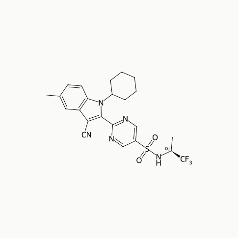 Cc1ccc2c(c1)c(C#N)c(-c1ncc(S(=O)(=O)N[C@@H](C)C(F)(F)F)cn1)n2C1CCCCC1